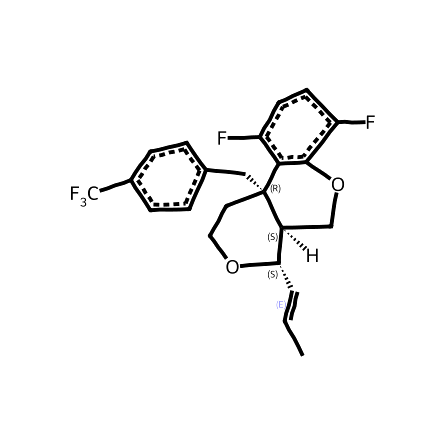 C/C=C/[C@@H]1OCC[C@@]2(Cc3ccc(C(F)(F)F)cc3)c3c(F)ccc(F)c3OC[C@@H]12